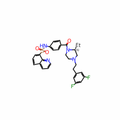 CC[C@H]1CN(CCc2cc(F)cc(F)c2)CCN1C(=O)c1ccc(NS(=O)(=O)c2cccc3cccnc23)cc1